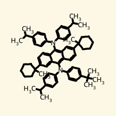 CC(C)c1ccc(N(c2ccc(C(C)C)cc2)c2c3ccc(C4(C)CCCCC4)cc3c(N(c3ccc(C(C)C)cc3)c3ccc(C(C)(C)C)cc3)c3ccc(C4(C)CCCCC4)cc23)cc1